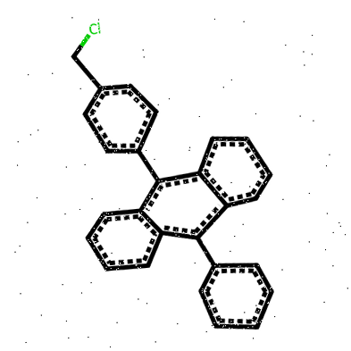 ClCc1ccc(-c2c3ccccc3c(-c3ccccc3)c3ccccc23)cc1